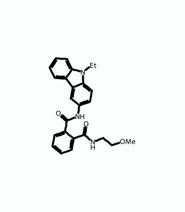 CCn1c2ccccc2c2cc(NC(=O)c3ccccc3C(=O)NCCOC)ccc21